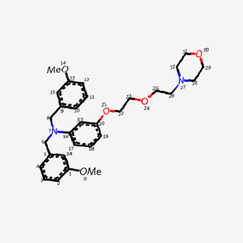 COc1cccc(CN(Cc2cccc(OC)c2)c2cccc(OCCOCCN3CCOCC3)c2)c1